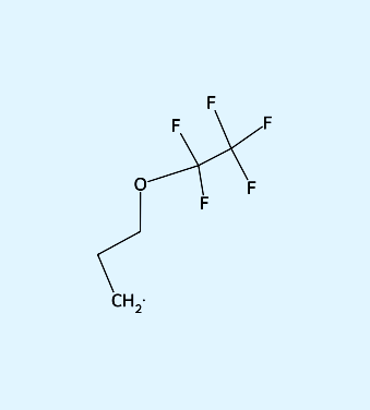 [CH2]CCOC(F)(F)C(F)(F)F